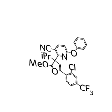 COC(=O)C(C=Cc1ccc(C(F)(F)F)cc1Cl)(c1nc(Oc2ccccc2)ccc1C#N)C(C)C